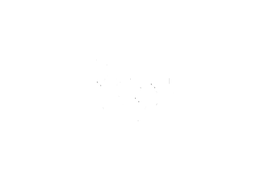 Cn1c(C(F)(F)F)cc(=O)n(-c2c(F)cc(Cl)c3nc([S+](C)[O-])sc23)c1=O